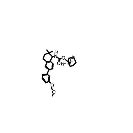 COCOc1cccc(-c2ccc3c(c2)CCC(C)(C)C3NC(=O)O[C@H]2CN3CCC2CC3)c1